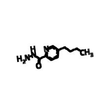 CCCCc1ccc(C(=O)NN)nc1